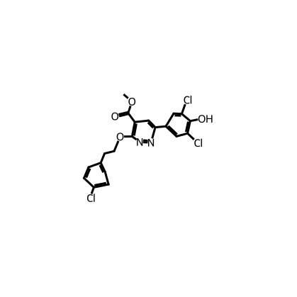 COC(=O)c1cc(-c2cc(Cl)c(O)c(Cl)c2)nnc1OCCc1ccc(Cl)cc1